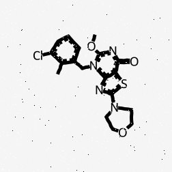 COc1nc(=O)c2sc(N3CCOCC3)nc2n1Cc1cccc(Cl)c1C